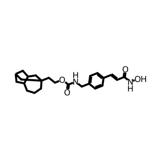 O=C(/C=C/c1ccc(CNC(=O)OCCC23CCCC4CC(CC4C2)C3)cc1)NO